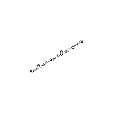 O=C(CCSCCO)OCCSCSCCCOOCCSCSCCOC(=O)CCSCSCCCOOCCSCCO